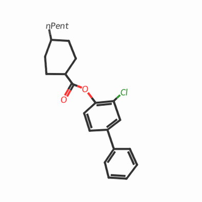 CCCCCC1CCC(C(=O)Oc2ccc(-c3ccccc3)cc2Cl)CC1